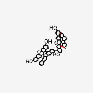 Oc1ccc2cc3c(cc2c1)Oc1cc2cc(O)ccc2cc1C31c2cc3ccccc3cc2-c2cc3cc(-c4c(O)ccc5cc6c(cc45)Oc4cc5cc(O)ccc5cc4C64c5c(ccc6ccccc56)-c5ccc6ccccc6c54)ccc3cc21